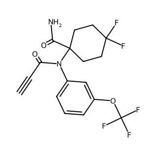 C#CC(=O)N(c1cccc(OC(F)(F)F)c1)C1(C(N)=O)CCC(F)(F)CC1